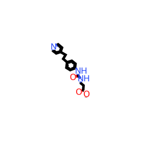 COC(=O)CCNC(=O)Nc1ccc(CCc2ccncc2)cc1